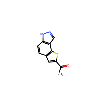 CC(=O)c1cc2ccc3[nH]ncc3c2s1